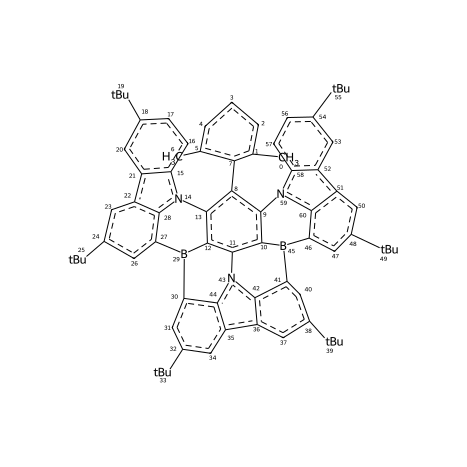 Cc1cccc(C)c1-c1c2c3c4c5c1-n1c6ccc(C(C)(C)C)cc6c6cc(C(C)(C)C)cc(c61)B5c1cc(C(C)(C)C)cc5c6cc(C(C)(C)C)cc(c6n-4c15)B3c1cc(C(C)(C)C)cc3c4cc(C(C)(C)C)ccc4n-2c13